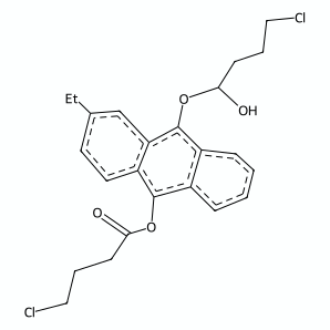 CCc1ccc2c(OC(=O)CCCCl)c3ccccc3c(OC(O)CCCCl)c2c1